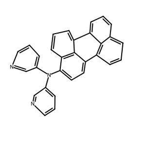 c1cncc(N(c2cccnc2)c2ccc3c4cccc5cccc(c6cccc2c63)c54)c1